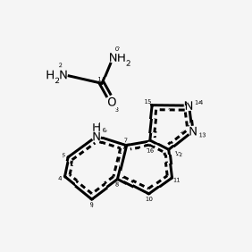 NC(N)=O.c1c[nH]c2c(c1)ccc1nncc12